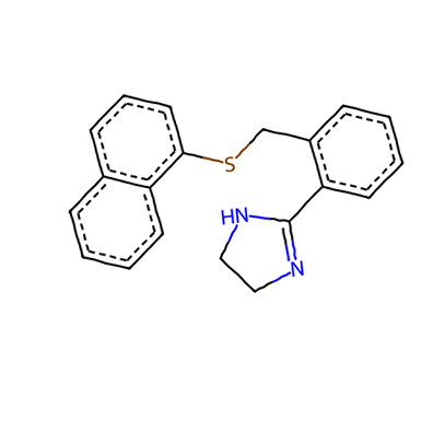 c1ccc(C2=NCCN2)c(CSc2cccc3ccccc23)c1